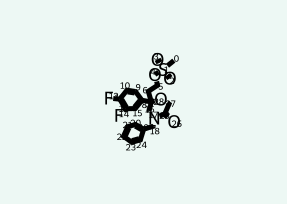 CS(=O)(=O)OCCC1(c2ccc(F)c(F)c2)CN(Cc2ccccc2)C(=O)CO1